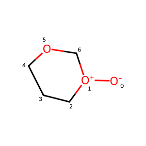 [O-][O+]1CCCOC1